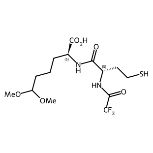 COC(CCC[C@H](NC(=O)[C@H](CCS)NC(=O)C(F)(F)F)C(=O)O)OC